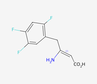 N/C(=C\C(=O)O)Cc1cc(F)c(F)cc1F